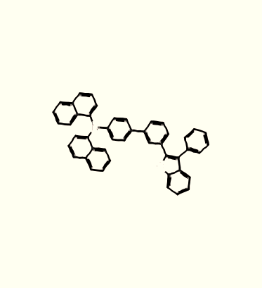 c1ccc(-c2c(-c3cccc(-c4ccc(N(c5cccc6ccccc56)c5cccc6ccccc56)cc4)c3)oc3ccccc23)cc1